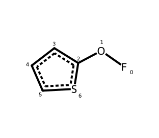 FOc1cccs1